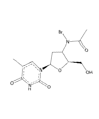 CC(=O)N(Br)C1C[C@H](n2cc(C)c(=O)[nH]c2=O)O[C@@H]1CO